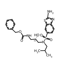 CC(C)CN(C[C@@H](O)CNC(=O)OCc1ccccc1)S(=O)(=O)c1ccc2nc(N)sc2c1